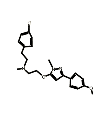 COc1ccc(-c2cc(OCCN(C)CCc3ccc(Cl)cc3)n(C)n2)cc1